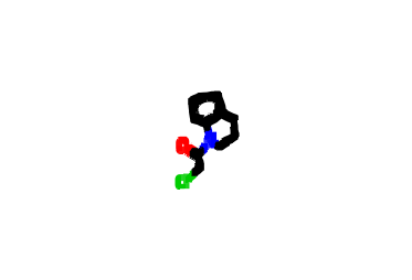 O=C(CCl)N1CCCc2ccccc21